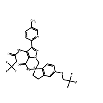 Cc1ccc(-c2nn3c(c2NC(=O)CC(F)(F)F)C(=O)N[C@]2(CCc4cc(OCC(F)(F)F)ccc42)C3)nc1